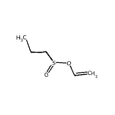 C=COS(=O)CCC